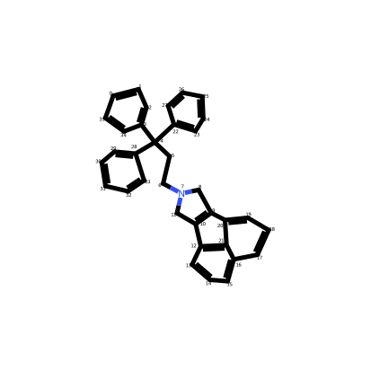 c1ccc(C(CCN2CC3=C(C2)c2cccc4cccc3c24)(c2ccccc2)c2ccccc2)cc1